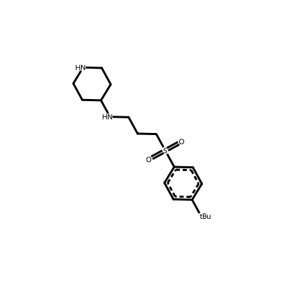 CC(C)(C)c1ccc(S(=O)(=O)CCCNC2CCNCC2)cc1